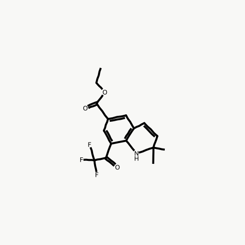 CCOC(=O)c1cc2c(c(C(=O)C(F)(F)F)c1)NC(C)(C)C=C2